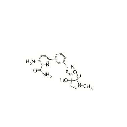 CN1CCC(O)(c2cc(-c3cccc(-c4ccc(N)c(C(N)=O)n4)c3)no2)C1=O